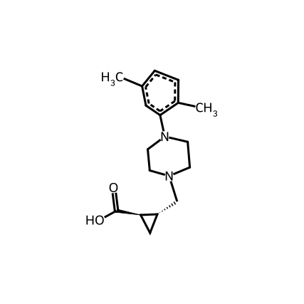 Cc1ccc(C)c(N2CCN(C[C@@H]3C[C@H]3C(=O)O)CC2)c1